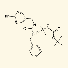 CC(F)(CN(Cc1ccc(Br)cc1)C(=O)OCc1ccccc1)NC(=O)OC(C)(C)C